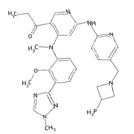 CCC(=O)c1cnc(Nc2ccc(CN3CC(P)C3)cn2)cc1N(C)c1cccc(-c2ncn(C)n2)c1OC